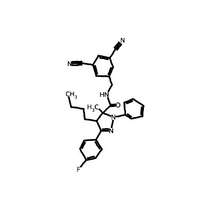 CCCCC1C(c2ccc(F)cc2)=NN(c2ccccc2)C1(C)C(=O)NCc1cc(C#N)cc(C#N)c1